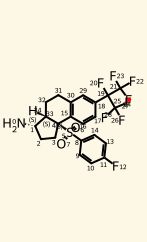 N[C@H]1CC[C@@]2(S(=O)(=O)c3ccc(F)cc3)c3ccc(C(F)(C(F)(F)F)C(F)(F)F)cc3CC[C@@H]12